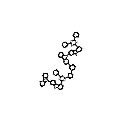 c1ccc(-c2nc(-c3cccc(-c4cccc(-c5ccc6c7ccccc7n(-c7ccc8c(c7)sc7cccc(-c9nc(-c%10ccccc%10)nc(-c%10ccccc%10)n9)c78)c6c5)c4)c3)nc(-c3cccc4sc5cc(-n6c7ccccc7c7ccccc76)ccc5c34)n2)cc1